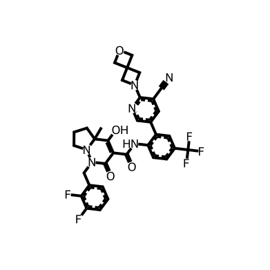 CC12CCCN1N(Cc1cccc(F)c1F)C(=O)C(C(=O)Nc1ccc(C(F)(F)F)cc1-c1cnc(N3CC4(COC4)C3)c(C#N)c1)=C2O